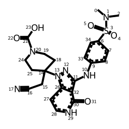 CN(C)S(=O)(=O)c1ccc(Nc2nn(C3(CC#N)CCN(C(=O)O)CC3)c3cc[nH]c(=O)c23)cc1